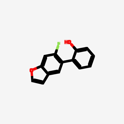 Oc1ccccc1-c1cc2ccoc2cc1F